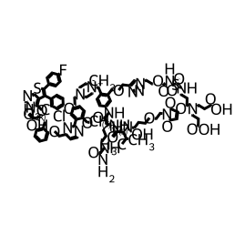 COc1ccccc1-c1nccc(COc2ccccc2C[C@@H](Oc2ncnc3sc(-c4ccc(F)cc4)c(-c4ccc(OCCN5CC[N+](C)(Cc6ccc(NC(=O)[C@H](CCCNC(N)=O)NC(=O)[C@@H](NC(O)CCOCCN7C(=O)C=CC7=O)C(C)C)cc6COCc6cn(CCOC(=O)NS(=O)(=O)NCCC(=O)N(CCC(=O)O)CCC(=O)O)nn6)CC5)c(Cl)c4C)c23)C(=O)O)n1